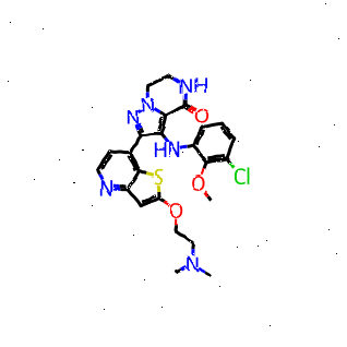 COc1c(Cl)cccc1Nc1c(-c2ccnc3cc(OCCN(C)C)sc23)nn2c1C(=O)NCC2